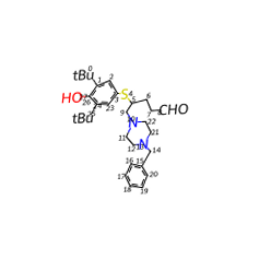 CC(C)(C)c1cc(SC(CCC=O)CN2CCN(Cc3ccccc3)CC2)cc(C(C)(C)C)c1O